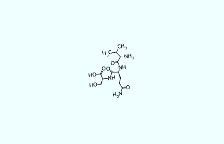 CC(C)[C@H](N)C(=O)N[C@@H](CCC(N)=O)C(=O)N[C@@H](CO)C(=O)O